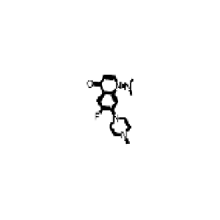 CN1CCN(c2cc3c(cc2F)c(=O)ccn3N(C)C)CC1